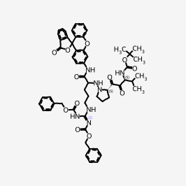 CC(C)[C@H](NC(=O)OC(C)(C)C)C(=O)C(=O)[C@@H]1CCCN1NC(CCCN/C(=N/C(=O)OCc1ccccc1)NC(=O)OCc1ccccc1)C(=O)Nc1ccc2c(c1)Oc1ccccc1C21OC(=O)c2ccccc21